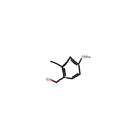 CSc1ccc(CBr)c(C)c1